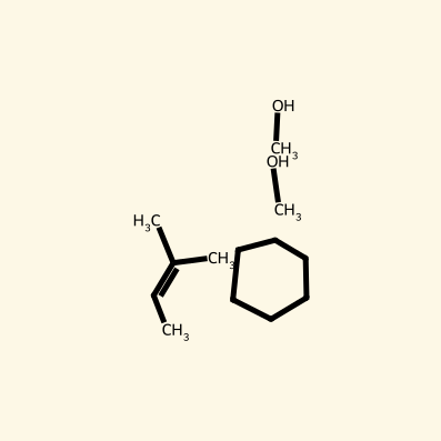 C1CCCCC1.CC=C(C)C.CO.CO